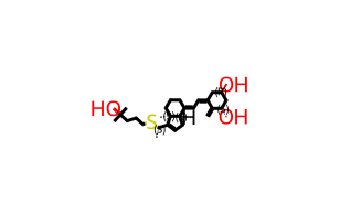 C=C1C(=CC=C2CCC[C@]3(C)C([C@H](C)SCCCC(C)(C)O)=CC[C@@H]23)C[C@@H](O)C[C@@H]1O